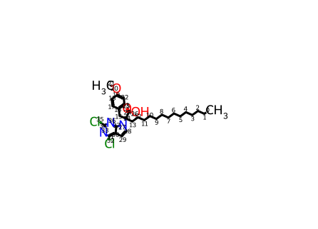 CCCCCCCCCCCCCCC(Cc1ccc(OC)cc1)(C(=O)O)n1ccc2c(Cl)nc(Cl)nc21